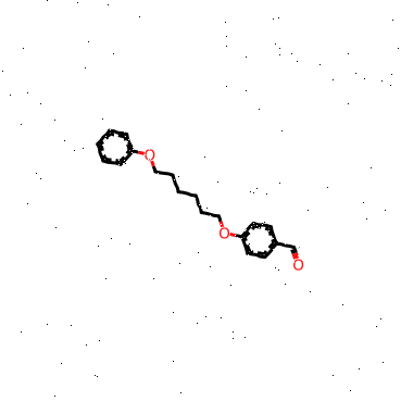 O=[C]c1ccc(OCCCCCCOc2ccccc2)cc1